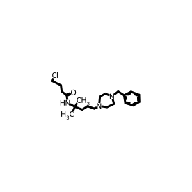 CC(C)(CCCN1CCN(Cc2ccccc2)CC1)NC(=O)CCCCl